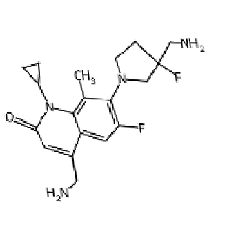 Cc1c(N2CCC(F)(CN)C2)c(F)cc2c(CN)cc(=O)n(C3CC3)c12